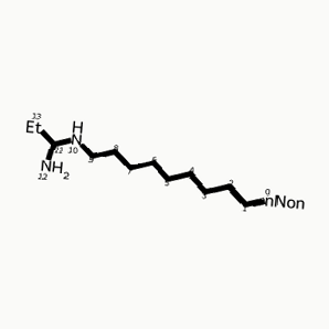 CCCCCCCCCCCCCCCCCCNC(N)CC